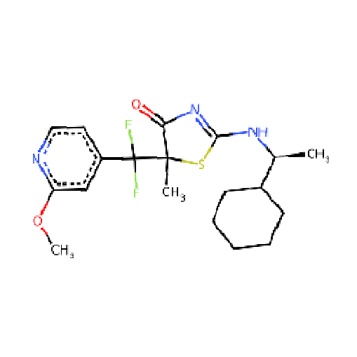 COc1cc(C(F)(F)C2(C)SC(N[C@@H](C)C3CCCCC3)=NC2=O)ccn1